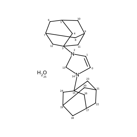 C1=CN(C23CC4CC(CC(C4)C2)C3)CN1C12CC3CC(CC(C3)C1)C2.O